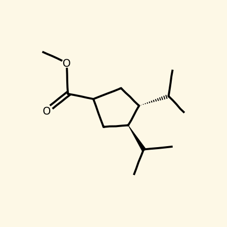 COC(=O)C1C[C@H](C(C)C)[C@@H](C(C)C)C1